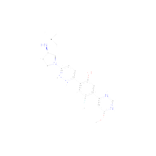 COc1cc(-c2cc(O)c(-c3ccc(N4CC[C@@H](NC(C)(C)C)C4)nn3)cc2F)ncn1